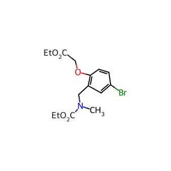 CCOC(=O)COc1ccc(Br)cc1CN(C)C(=O)OCC